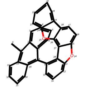 Cc1c2ccccc2c(-c2cccc3oc4ccc5c6ccccc6oc5c4c23)c2ccccc12